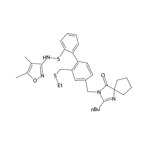 CCCCC1=NC2(CCCC2)C(=O)N1Cc1ccc(-c2ccccc2SNc2noc(C)c2C)c(CSCC)c1